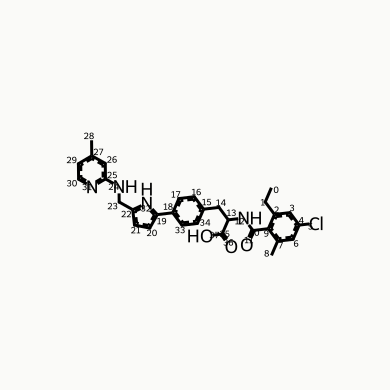 CCc1cc(Cl)cc(C)c1C(=O)NC(Cc1ccc(-c2ccc(CNc3cc(C)ccn3)[nH]2)cc1)C(=O)O